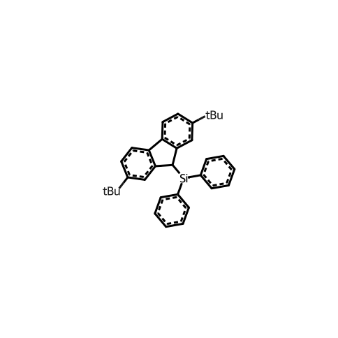 CC(C)(C)c1ccc2c(c1)C([Si](c1ccccc1)c1ccccc1)c1cc(C(C)(C)C)ccc1-2